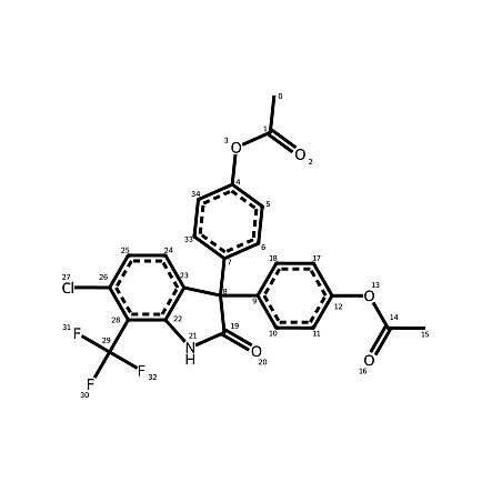 CC(=O)Oc1ccc(C2(c3ccc(OC(C)=O)cc3)C(=O)Nc3c2ccc(Cl)c3C(F)(F)F)cc1